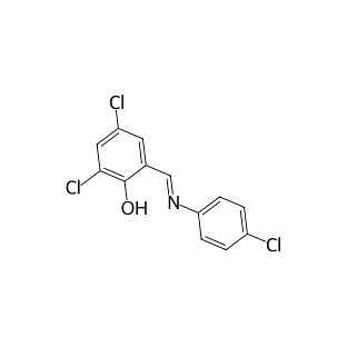 Oc1c(Cl)cc(Cl)cc1/C=N/c1ccc(Cl)cc1